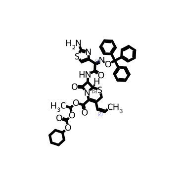 C/C=C\C1=C(C(=O)OC(C)OC(=O)OC2CCCCC2)N2C(=O)C(NC(=O)/C(=N\OC(c3ccccc3)(c3ccccc3)c3ccccc3)c3csc(N)n3)[C@@H]2SC1